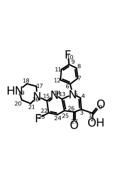 O=C(O)c1cn(-c2ccc(F)cc2)c2nc(N3CCNCC3)c(F)cc2c1=O